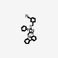 N#Cc1cccc(CSc2nnc(Cn3c4ccccc4c4ccccc43)n2-c2ccccc2)c1